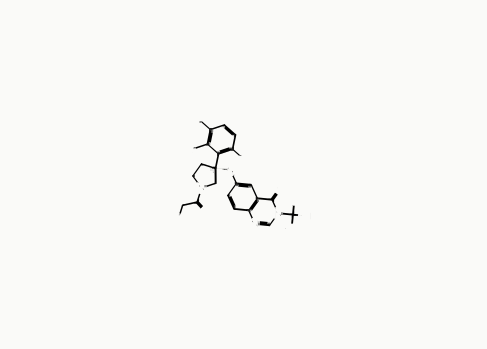 [2H]C([2H])([2H])n1cnc2ccc(N[C@]3(c4c(F)ccc(Cl)c4Cl)CCN(C(=O)CF)C3)cc2c1=O